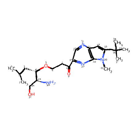 CC(C)C[C@H](OCCC(=O)c1cnc2cc(C(C)(C)C)n(C)c2n1)[C@@H](N)CO